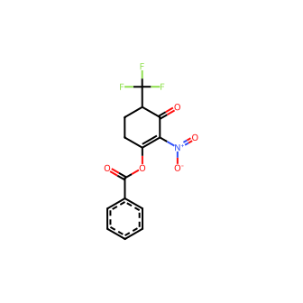 O=C(OC1=C([N+](=O)[O-])C(=O)C(C(F)(F)F)CC1)c1ccccc1